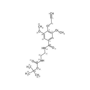 C#CCOc1c(OC)cc(C(=O)NCCNC(=O)OC(C)(C)C)cc1OC